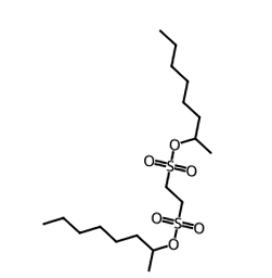 CCCCCCC(C)OS(=O)(=O)CCS(=O)(=O)OC(C)CCCCCC